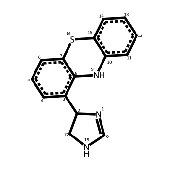 [C]1=NC(c2cccc3c2Nc2ccccc2S3)CN1